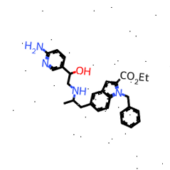 CCOC(=O)c1cc2cc(CC(C)NCC(O)c3ccc(N)nc3)ccc2n1Cc1ccccc1